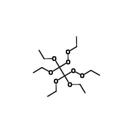 CCOOC(OCC)(OCC)C(OCC)(OCC)OOCC